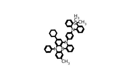 Cc1ccc2c(c1)B1c3ccccc3N(c3ccc(N4c5ccccc5[Si](C)(C)c5ccccc54)cc3)c3cc(C4CCCCC4)cc(c31)N2c1ccccc1